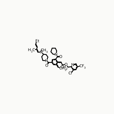 C=C(/C=c1/c(C(=O)N2CCCCC2)cc(C(=O)N2CCC(N(C)/C=C(C)\C=C\CC)CC2)c/c1=C/C)OCc1ncc(C(F)(F)F)cc1Cl